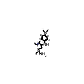 C/C=C(\C)C(CCN(C)N)Nc1ccc(N(C)C)cc1